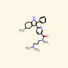 CC1CCc2[nH]c(-c3ccccc3)c(-c3ccc(C(=O)N(C)CCCN(C)C)cn3)c2C1